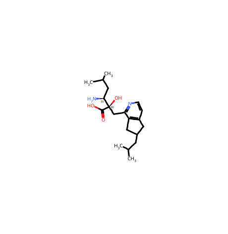 CC(C)CC1Cc2ccnc(C[C@](O)(C(=O)O)[C@@H](N)CC(C)C)c2C1